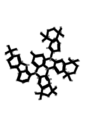 Cc1cc2c3c(c1)N(c1cccc4c1sc1cc(C(C)(C)C)ccc14)c1cc4c(cc1B3c1cc3c(cc1N2c1ccc2c(c1)C(C)(C)CCC2(C)C)C(C)(C)CCC3(C)C)C(C)(C)CC4(C)C